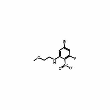 COCCNc1cc(Br)cc(F)c1[N+](=O)[O-]